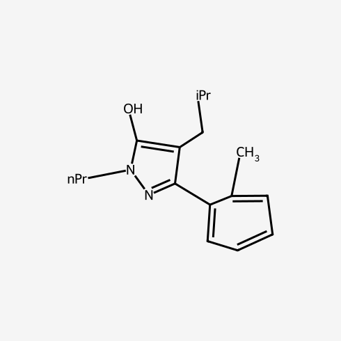 CCCn1nc(-c2ccccc2C)c(CC(C)C)c1O